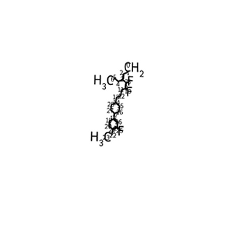 C=C/C=C(CCC)\C(F)=C(\F)CCCC1CCC(c2ccc(CC)c(F)c2)CC1